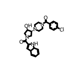 O=C(C1=CC2C=CC=CC2N1)N1C[C@@H](O)[C@H](N2CCN(C(=O)c3ccc(Cl)cc3)CC2)C1